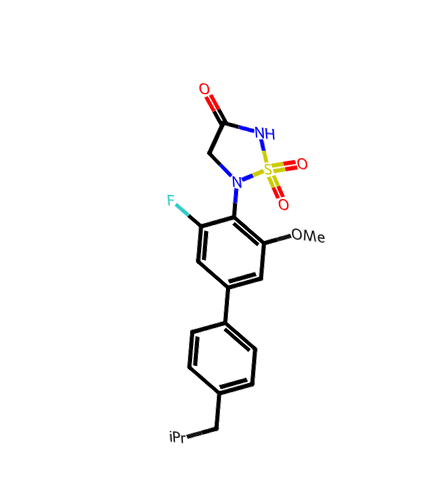 COc1cc(-c2ccc(CC(C)C)cc2)cc(F)c1N1CC(=O)NS1(=O)=O